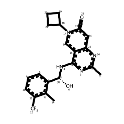 Cc1nc(N[C@H](O)c2cccc(C(F)(F)F)c2C)c2cn(C3CCC3)c(=O)cc2n1